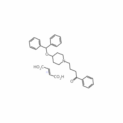 O=C(CCCN1CCC(OC(c2ccccc2)c2ccccc2)CC1)c1ccccc1.O=C(O)/C=C/C(=O)O